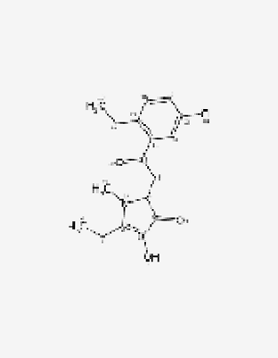 CCC1=C(O)C(=O)C(CC(=O)c2cc(Cl)ccc2CC)N1C